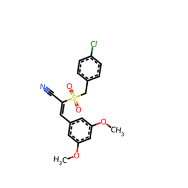 COc1cc(/C=C(/C#N)S(=O)(=O)Cc2ccc(Cl)cc2)cc(OC)c1